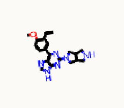 C=Cc1cc(-c2nc(N3CC4CNCC4C3)nc3[nH]cnc23)ccc1OC